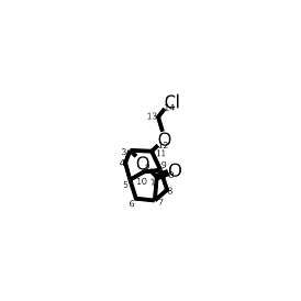 O=C1OC2CC3CC1CC(C3)C2OCCl